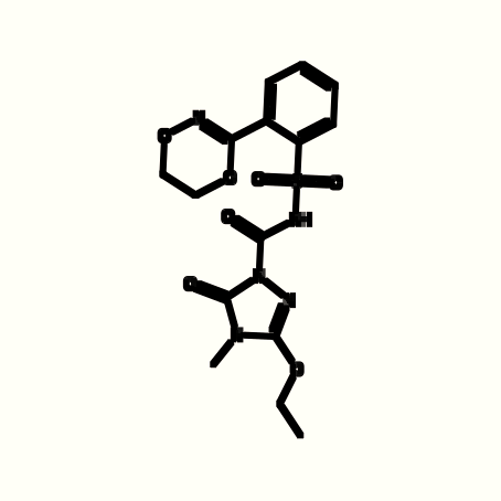 CCOc1nn(C(=O)NS(=O)(=O)c2ccccc2C2=NOCCO2)c(=O)n1C